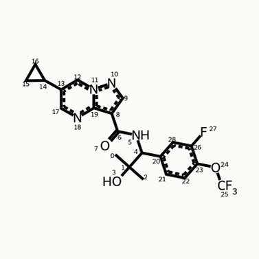 CC(C)(O)C(NC(=O)c1cnn2cc(C3CC3)cnc12)c1ccc(OC(F)(F)F)c(F)c1